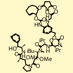 CC[C@H](C)[C@@H]([C@@H](CC(=O)N1CCC[C@H]1[C@H](OC)[C@@H](C)C(=O)N[C@H](C)[C@@H](O)c1ccccc1)OC)N(C)C(=O)[C@@H](NC(=O)[C@H](C(C)C)N(C)C(=O)OCc1ccc(NC(=O)OC2/C=C/CCCCC2)c(NCC(=O)ON2C(=O)CCC2=O)c1)C(C)C